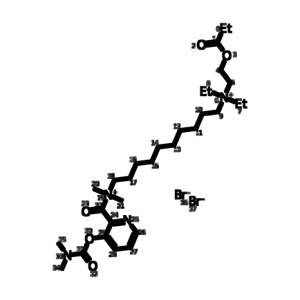 CCC(=O)OCC[N+](CC)(CC)CCCCCCCCCC[N+](C)(C)C(=O)c1ncccc1OC(=O)N(C)C.[Br-].[Br-]